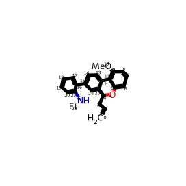 C=CCC1Oc2cccc(OC)c2-c2ccc(-c3ccccc3NCC)cc21